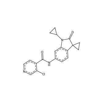 O=C(Nc1ccc2c(c1)N(C1CC1)C(=O)C21CC1)c1ccncc1Cl